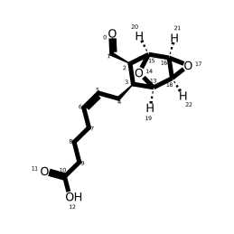 O=C[C@@H]1[C@H](C/C=C\CCCC(=O)O)[C@H]2O[C@@H]1[C@H]1O[C@H]12